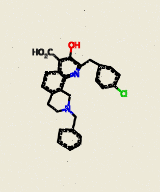 O=C(O)c1c(O)c(Cc2ccc(Cl)cc2)nc2c3c(ccc12)CCN(Cc1ccccc1)C3